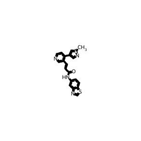 Cn1cc(-c2ccncc2C=CC(=O)Nc2ccc3scnc3c2)cn1